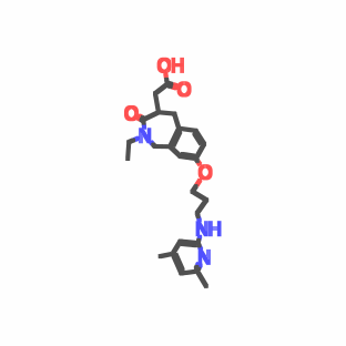 CCN1Cc2cc(OCCCNc3cc(C)cc(C)n3)ccc2CC(CC(=O)O)C1=O